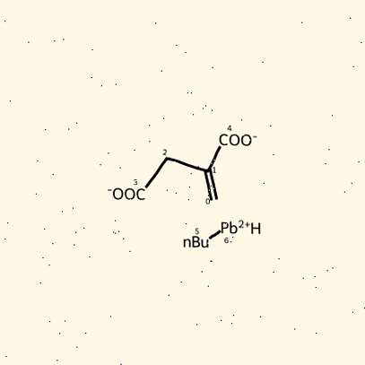 C=C(CC(=O)[O-])C(=O)[O-].CCC[CH2][PbH+2]